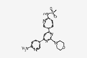 CS(=O)(=O)Nc1ccc(-c2cc(-c3ccc(N)nc3)nc(N3CCOCC3)n2)cn1